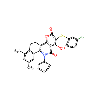 Cc1cc(C)c2c(c1)-c1c(c3oc(=O)c(Sc4cccc(Cl)c4)c(O)c3c(=O)n1-c1ccccc1)CC2